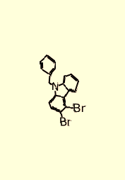 Brc1ccc2c(c1Br)c1ccccc1n2Cc1ccccc1